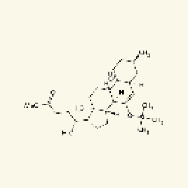 COC(=O)CC[C@@H](C)[C@H]1CC[C@H]2[C@@H]3C(O[Si](C)(C)C)=C[C@@H]4C[C@H](C)CC[C@]4(C)[C@H]3CC[C@]12C